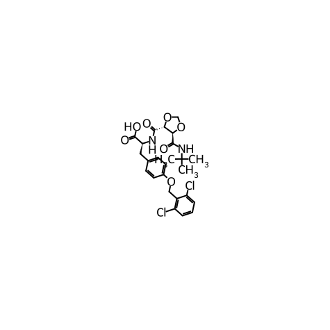 CC(C)(C)NC(=O)[C@@H]1OCO[C@H]1C(=O)N[C@@H](Cc1ccc(OCc2c(Cl)cccc2Cl)cc1)C(=O)O